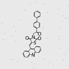 O=C(CN1C(=O)SC(=Cc2c3ccccc3nc3ccccc23)C1=O)c1ccc(-c2ccccc2)cc1